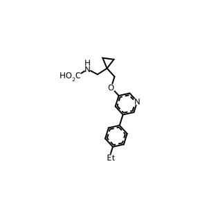 CCc1ccc(-c2cncc(OCC3(CNC(=O)O)CC3)c2)cc1